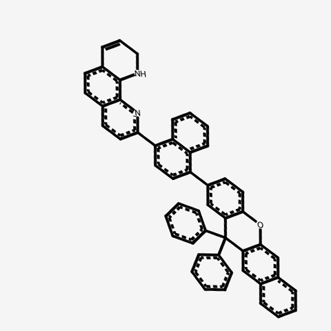 C1=Cc2ccc3ccc(-c4ccc(-c5ccc6c(c5)C(c5ccccc5)(c5ccccc5)c5cc7ccccc7cc5O6)c5ccccc45)nc3c2NC1